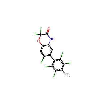 O=C1Nc2cc(-c3c(F)c(F)c(C(F)(F)F)c(F)c3F)c(F)cc2OC1(F)F